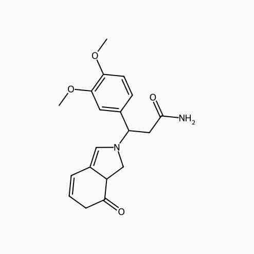 COc1ccc(C(CC(N)=O)N2C=C3C=CCC(=O)C3C2)cc1OC